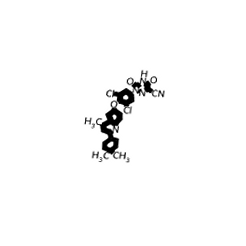 Cc1cc(C2CCC(C)(C)CC2)nc2ccc(Oc3c(Cl)cc(-n4nc(C#N)c(=O)[nH]c4=O)cc3Cl)cc12